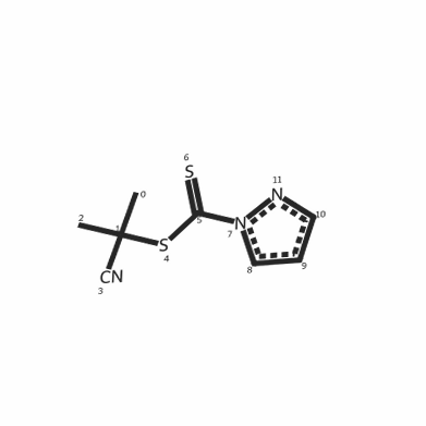 CC(C)(C#N)SC(=S)n1cccn1